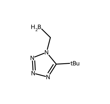 BCn1nnnc1C(C)(C)C